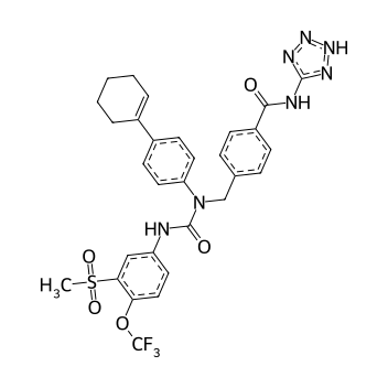 CS(=O)(=O)c1cc(NC(=O)N(Cc2ccc(C(=O)Nc3nn[nH]n3)cc2)c2ccc(C3=CCCCC3)cc2)ccc1OC(F)(F)F